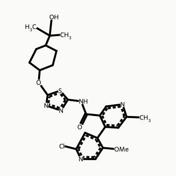 COc1cnc(Cl)cc1-c1cc(C)ncc1C(=O)Nc1nnc(OC2CCC(C(C)(C)O)CC2)s1